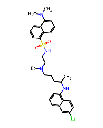 CCN(CCCC(C)Nc1cccc2cc(Cl)ccc12)CCNS(=O)(=O)c1cccc2c(N(C)C)cccc12